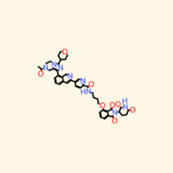 CC(=O)N1CCn2c(C3CCOCC3)nc(-c3cccc4cc(-c5ccc(C(=O)NCCCCOc6cccc7c6C(=O)N(C6CCC(=O)NC6=O)C7=O)nc5)ncc34)c2C1